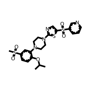 CC(C)Oc1ccc(S(C)(=O)=O)cc1N1CCN(c2ncc(S(=O)(=O)c3cccnc3)s2)CC1